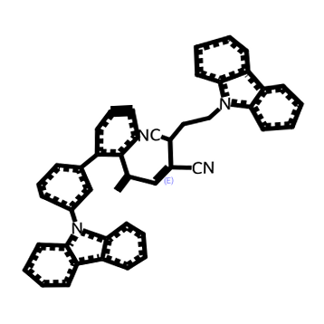 C=C(/C=C(/C#N)C(C#N)CCn1c2ccccc2c2ccccc21)c1cc#ccc1-c1cccc(-n2c3ccccc3c3ccccc32)c1